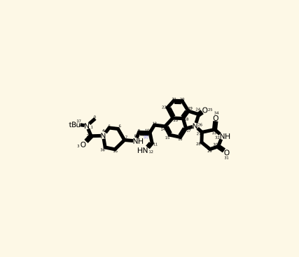 CN(C(=O)N1CCC(N/C=C(\C=N)Cc2ccc3c4c(cccc24)C(=O)N3C2CCC(=O)NC2=O)CC1)C(C)(C)C